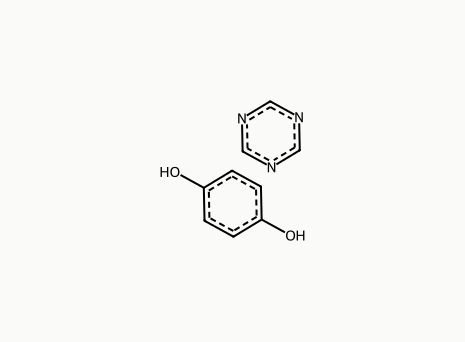 Oc1ccc(O)cc1.c1ncncn1